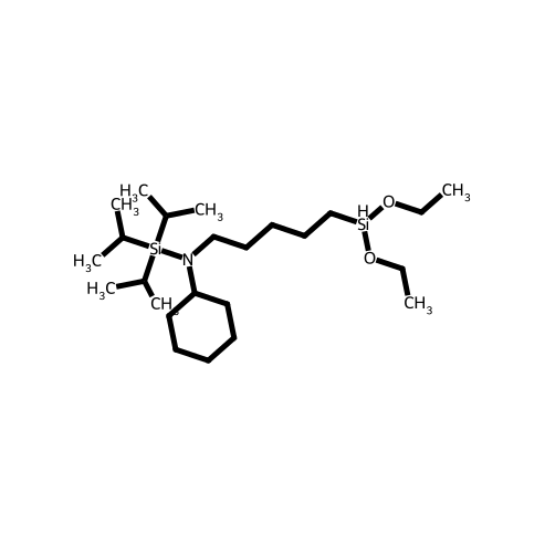 CCO[SiH](CCCCCN(C1CCCCC1)[Si](C(C)C)(C(C)C)C(C)C)OCC